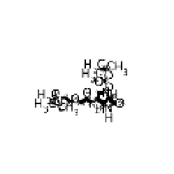 CC(C)(C)OC(=O)ON1C[C@@H](CC(=O)COCC[Si](C)(C)C)[C@H]2NC(=O)[C@H]21